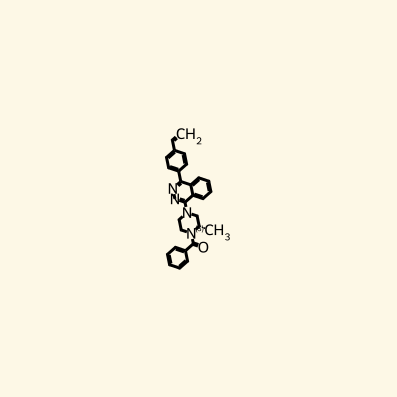 C=Cc1ccc(-c2nnc(N3CCN(C(=O)c4ccccc4)[C@@H](C)C3)c3ccccc23)cc1